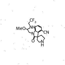 COC(CN1C(=O)C2(CCNCC2)c2c(C#N)cccc21)NCC(F)(F)F